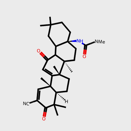 CNC(=O)N[C@]12CCC(C)(C)CC1C1C(=O)C=C3[C@@]4(C)C=C(C#N)C(=O)C(C)(C)[C@@H]4CC[C@@]3(C)[C@]1(C)CC2